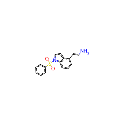 N/C=C/c1cccc2c1ccn2S(=O)(=O)c1ccccc1